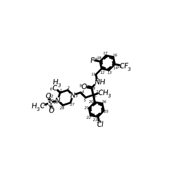 CC1CN(CCC(C)(C(=O)NCc2cc(C(F)(F)F)ccc2F)c2ccc(Cl)cc2)CCN1S(C)(=O)=O